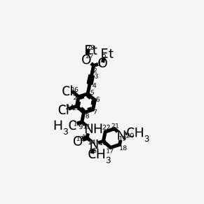 CCOC(C#Cc1ccc(C(C)NC(=O)N(C)C2CCN(C)CC2)c(Cl)c1Cl)OCC